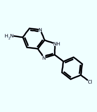 Nc1cnc2[nH]c(-c3ccc(Cl)cc3)nc2c1